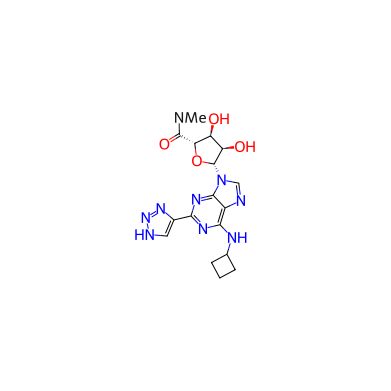 CNC(=O)[C@H]1O[C@@H](n2cnc3c(NC4CCC4)nc(-c4c[nH]nn4)nc32)[C@H](O)[C@@H]1O